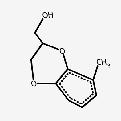 Cc1cccc2c1OC(CO)CO2